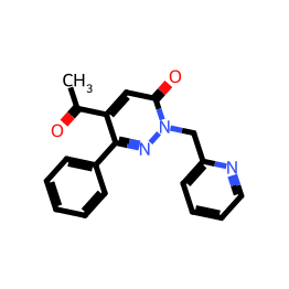 CC(=O)c1cc(=O)n(Cc2ccccn2)nc1-c1ccccc1